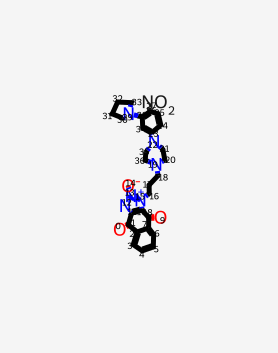 O=C1c2ccccc2C(=O)c2c1n[n+]([O-])n2CCCN1CCN(c2ccc([N+](=O)[O-])c(N3CCCC3)c2)CC1